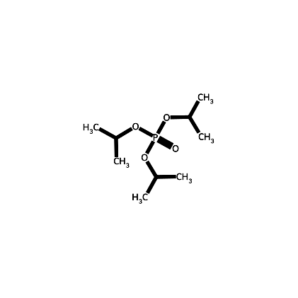 CC(C)OP(=O)(OC(C)C)OC(C)C